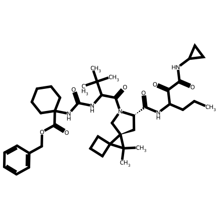 CCCC(NC(=O)[C@@H]1C[C@@]2(CN1C(=O)C(NC(=O)NC1(C(=O)OCc3ccccc3)CCCCC1)C(C)(C)C)C(C)(C)C21CCC1)C(=O)C(=O)NC1CC1